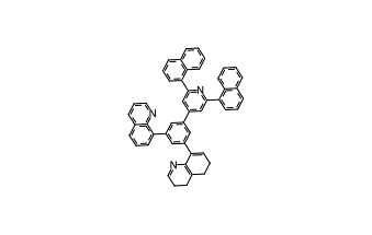 C1=NC2=C(CC1)CCC=C2c1cc(-c2cc(-c3cccc4ccccc34)nc(-c3cccc4ccccc34)c2)cc(-c2cccc3cccnc23)c1